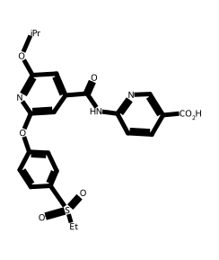 CCS(=O)(=O)c1ccc(Oc2cc(C(=O)Nc3ccc(C(=O)O)cn3)cc(OC(C)C)n2)cc1